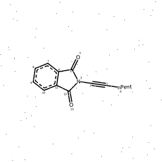 CCCCCC#CN1C(=O)c2ccccc2C1=O